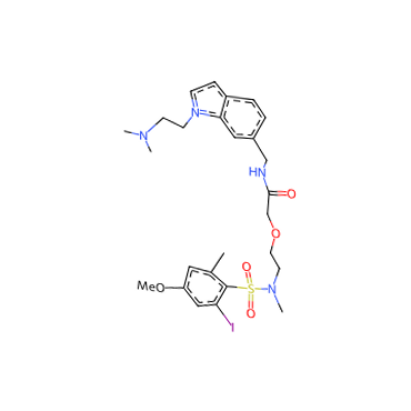 COc1cc(C)c(S(=O)(=O)N(C)CCOCC(=O)NCc2ccc3ccn(CCN(C)C)c3c2)c(I)c1